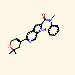 CN(C(=O)c1cc2cc(C3=CCOC(C)(C)C3)ncc2[nH]1)c1ccccc1